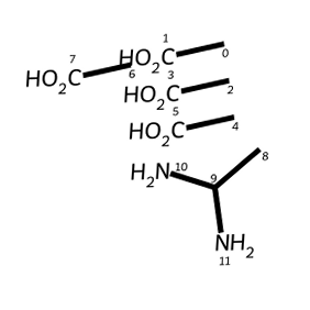 CC(=O)O.CC(=O)O.CC(=O)O.CC(=O)O.CC(N)N